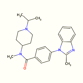 Cc1nc2ccccc2n1-c1ccc(C(=O)N(C)C2CCN(C(C)C)CC2)cc1